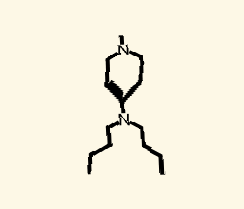 CCCCN(CCCC)C1=CCN(C)CC1